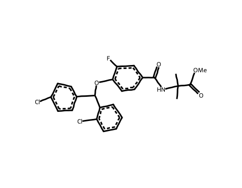 COC(=O)C(C)(C)NC(=O)c1ccc(OC(c2ccc(Cl)cc2)c2ccccc2Cl)c(F)c1